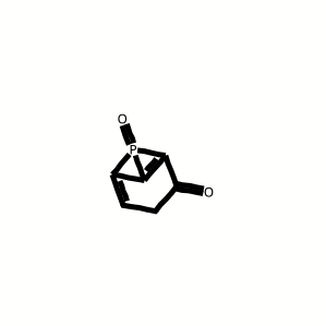 O=C1CC=C2C3=C1P23=O